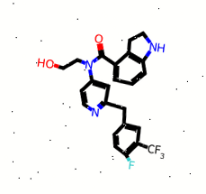 O=C(c1cccc2c1CCN2)N(CCO)c1ccnc(Cc2ccc(F)c(C(F)(F)F)c2)c1